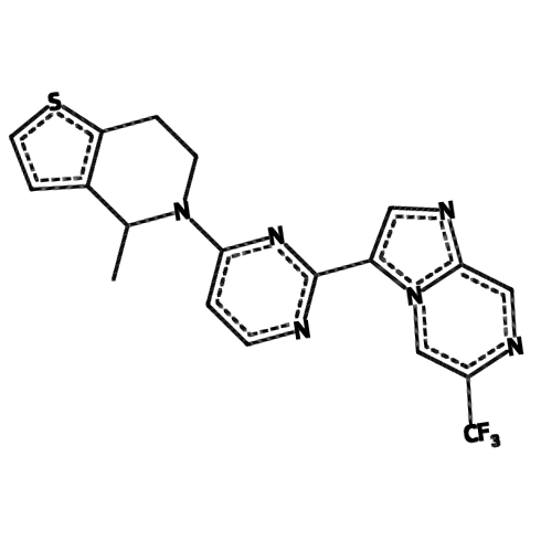 CC1c2ccsc2CCN1c1ccnc(-c2cnc3cnc(C(F)(F)F)cn23)n1